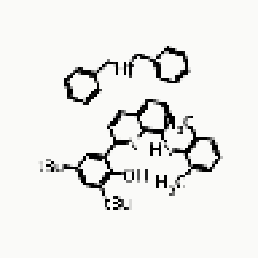 Cc1cccc(C)c1Nc1cccc2ccc(-c3cc(C(C)(C)C)cc(C(C)(C)C)c3O)nc12.c1ccc([CH2][Hf][CH2]c2ccccc2)cc1